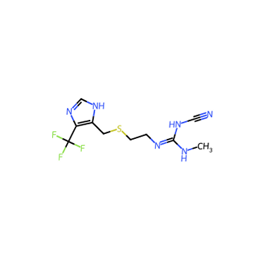 CN/C(=N/CCSCc1[nH]cnc1C(F)(F)F)NC#N